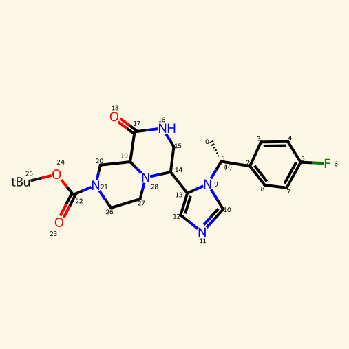 C[C@H](c1ccc(F)cc1)n1cncc1C1CNC(=O)C2CN(C(=O)OC(C)(C)C)CCN21